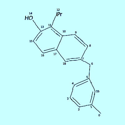 Cc1cccc(Cc2ccc3c(C(C)C)c(O)ccc3c2)c1